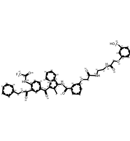 Cc1c(NC(=O)c2cccc(OCC(=O)NCCNC(=O)COc3cccc(C(=O)O)c3)c2)c2ccccn2c1C(=O)c1ccc(NC(=O)C(F)(F)F)c(C(=O)OCc2ccccc2)c1